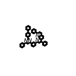 c1ccc(-c2ccc(-c3nc(-c4ccccc4)cc(-c4cccc(-c5cc(-c6ccccc6)c6ccc7ccc(-c8ccccc8)nc7c6n5)c4)n3)cc2)cc1